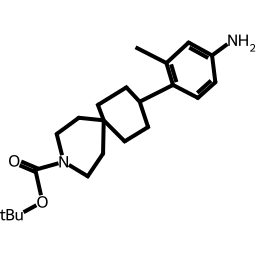 Cc1cc(N)ccc1C1CCC2(CC1)CCN(C(=O)OC(C)(C)C)CC2